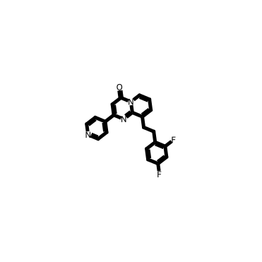 O=c1cc(-c2ccncc2)nc2c(CCc3ccc(F)cc3F)cccn12